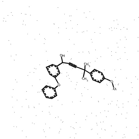 CCOc1ccc(C(C)(C)C#CC(O)c2cccc(Oc3ccccc3)c2)cc1